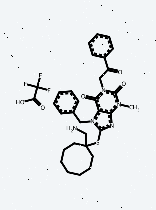 Cn1c(=O)n(CC(=O)c2ccccc2)c(=O)c2c1nc(SC1(CN)CCCCCCC1)n2Cc1ccccc1.O=C(O)C(F)(F)F